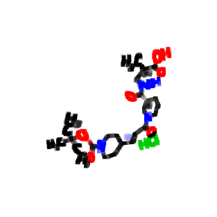 C[C@H](CNC(=O)[C@@H]1CCCN(C(=O)/C=C/C2CCN(C(=O)OC(C)(C)C)CC2)C1)C(=O)O.Cl